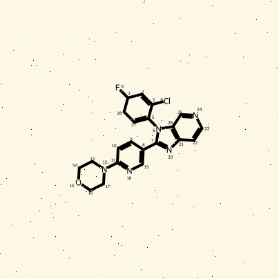 FC1C=C(Cl)C(n2c(-c3ccc(N4CCOCC4)nc3)nc3ccncc32)=CC1